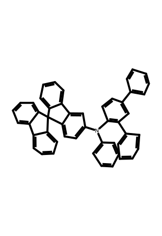 c1ccc(-c2ccc(N(c3ccccc3)c3ccc4c(c3)-c3ccccc3C43c4ccccc4-c4ccccc43)c(-c3ccccc3)c2)cc1